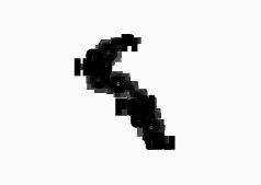 CCCc1ccc(S(=O)(=O)Nc2cccc(-c3ccc(CCCc4nn(Cc5ccc(C(C)(C)C)cc5)c(=O)n4CC)cc3)n2)cc1